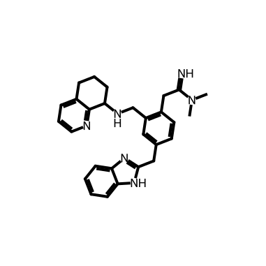 CN(C)C(=N)Cc1ccc(Cc2nc3ccccc3[nH]2)cc1CNC1CCCc2cccnc21